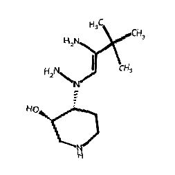 CC(C)(C)/C(N)=C/N(N)[C@@H]1CCNC[C@H]1O